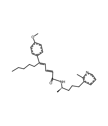 CCCCC/C(=C\C=C\C(=O)N[C@H](C)CCCc1cccnc1C)c1ccc(OC)cc1